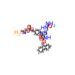 NC(=O)NCCCC(NC(=O)OCC1c2ccccc2-c2ccccc21)C(=O)Nc1ccc(COC(=O)O/P=N/P)cc1